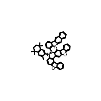 Cc1cc2c(cc1N1B3c4c(cc5oc6ccccc6c5c4-n4c5cc6ccccc6cc5c5cccc3c54)-c3c1ccc1oc4ccccc4c31)C(C)(C)CCC2(C)C